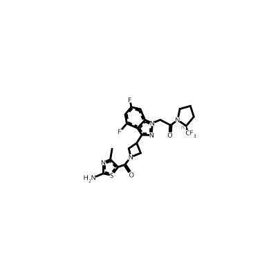 Cc1nc(N)sc1C(=O)N1CC(c2nn(CC(=O)N3CCC[C@H]3C(F)(F)F)c3cc(F)cc(F)c23)C1